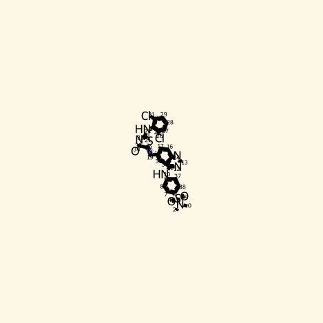 CN(C)S(=O)(=O)c1ccc(Nc2ncnc3ccc(/C=C4\SC(Nc5c(Cl)cccc5Cl)=NC4=O)cc23)cc1